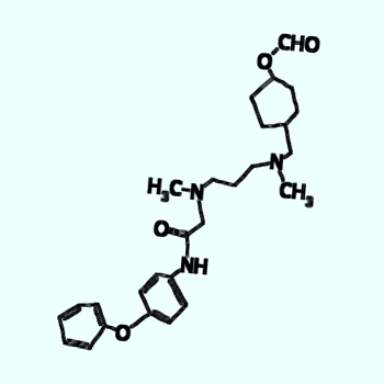 CN(CCCN(C)CC1CCC(OC=O)CC1)CC(=O)Nc1ccc(Oc2ccccc2)cc1